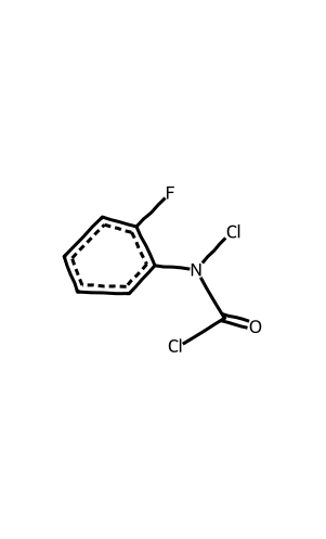 O=C(Cl)N(Cl)c1ccccc1F